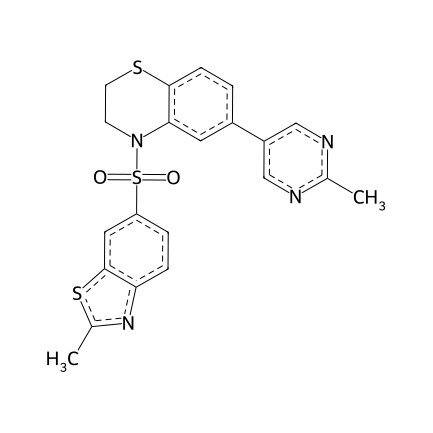 Cc1ncc(-c2ccc3c(c2)N(S(=O)(=O)c2ccc4nc(C)sc4c2)CCS3)cn1